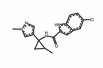 CC1CC1(NC(=O)c1cc2cc(Cl)ccc2[nH]1)c1cnn(C)c1